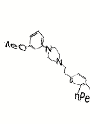 CCCCCc1cc(CCN2CCN(c3cccc(OC)c3)CC2)ccc1C